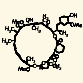 COC1CC(CC(C)[C@@H]2CC(=O)C(C)/C=C(\C)[C@@H](O)C(OC)C(=O)C(C)C[C@H](C)/C=C/C=C/C=C(\C)[C@@H](OC)C[C@@H]3CC[C@@H](C)[C@@](C)(O3)C(=O)C(=O)N3CCCC[C@H]3C(=O)O2)CC[C@H]1O